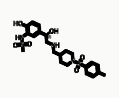 Cc1ccc(S(=O)(=O)N2CCC(CNC[C@H](O)c3ccc(O)c(NS(C)(=O)=O)c3)CC2)cc1